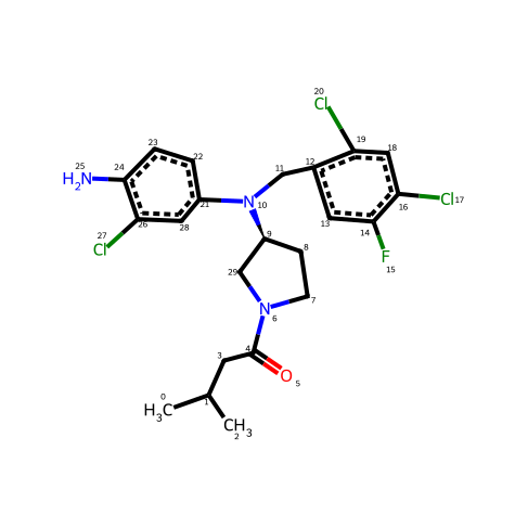 CC(C)CC(=O)N1CC[C@H](N(Cc2cc(F)c(Cl)cc2Cl)c2ccc(N)c(Cl)c2)C1